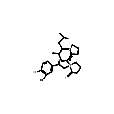 CC(C)CC(C(C)CC(C)[N+]1(CC(=O)c2ccc(O)c(O)c2)CCCC1=O)N1CCCC1=O